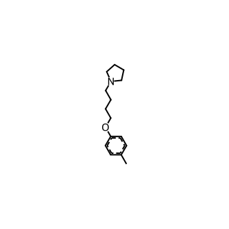 Cc1ccc(OCCCCN2CCCC2)cc1